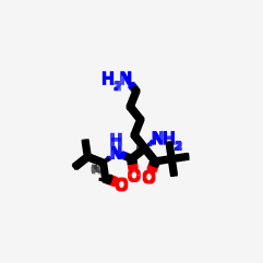 CC(C)[C@@H]([C]=O)NC(=O)[C@@](N)(CCCCN)C(=O)C(C)(C)C